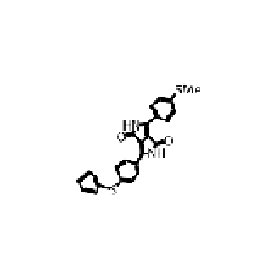 CSc1ccc(C2=C3C(=O)NC(c4ccc(Sc5ccccc5)cc4)=C3C(=O)N2)cc1